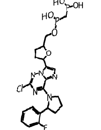 OP(O)CP(O)OCC1CCC(c2cnc3c(N4CCCC4c4ccccc4F)nc(Cl)nn23)O1